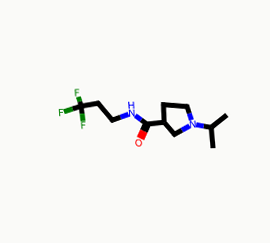 CC(C)N1CCC(C(=O)NCCC(F)(F)F)C1